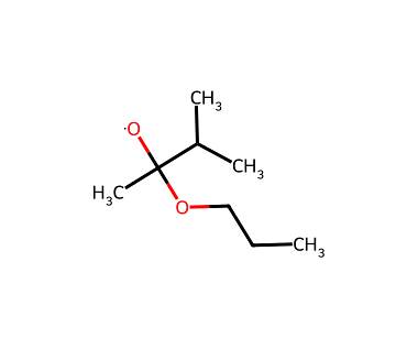 CCCOC(C)([O])C(C)C